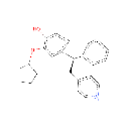 Oc1ccc([C@H](Cc2ccncc2)c2ccccc2)cc1OC1CCCC1